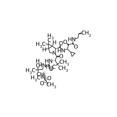 C=CCNC(=O)C(=O)C(NC(=O)[C@@H]1[C@@H]2[C@H](CN1C(=O)[C@@H](NC(=O)N[C@H](CN(C)S(C)(=O)=O)C(C)(C)C)C(C)(C)C)C2(C)C)C1CC1